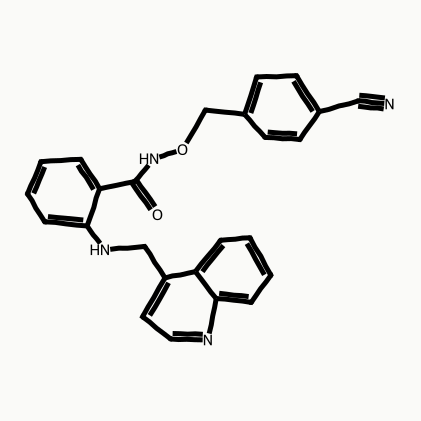 N#Cc1ccc(CONC(=O)c2ccccc2NCc2ccnc3ccccc23)cc1